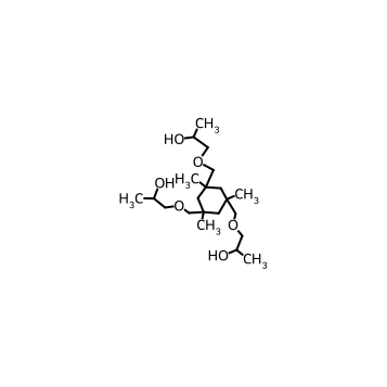 CC(O)COCC1(C)CC(C)(COCC(C)O)CC(C)(COCC(C)O)C1